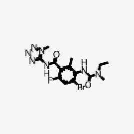 CCN(C)C(=O)Nc1c(Br)cc(F)c(C(=O)Nc2nnnn2C)c1C